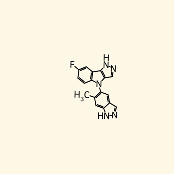 Cc1cc2[nH]ncc2cc1-n1c2ccc(F)cc2c2[nH]ncc21